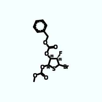 COC(=O)O[C@@H]1SC(Br)[C@@H](F)[C@@H]1OC(=O)OCc1ccccc1